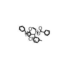 Cc1cccc(C2c3c(C(F)(F)F)nn(-c4ccccc4)c3OC=CN2OC(=O)c2ccccc2)c1